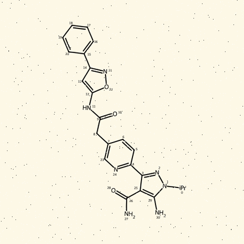 CC(C)n1nc(-c2ccc(CC(=O)Nc3cc(-c4ccccc4)no3)cn2)c(C(N)=O)c1N